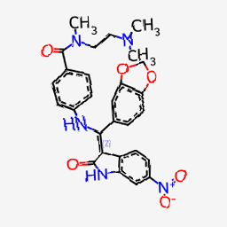 CN(C)CCN(C)C(=O)c1ccc(N/C(=C2\C(=O)Nc3cc([N+](=O)[O-])ccc32)c2ccc3c(c2)OCO3)cc1